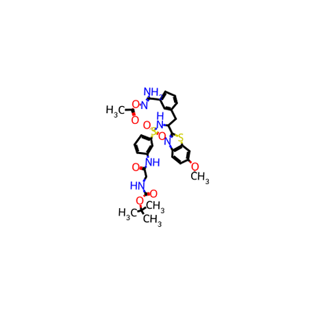 COc1ccc2nc(C(Cc3cccc(C(N)=NOC(C)=O)c3)NS(=O)(=O)c3cccc(NC(=O)CNC(=O)OC(C)(C)C)c3)sc2c1